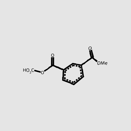 COC(=O)c1cccc(C(=O)OC(=O)O)c1